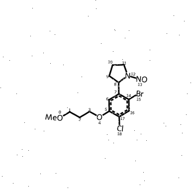 COCCCOc1cc(C2CCCN2N=O)c(Br)cc1Cl